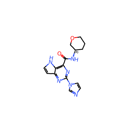 O=C(N[C@@H]1CCCOC1)c1nc(-n2ccnc2)nc2cc[nH]c12